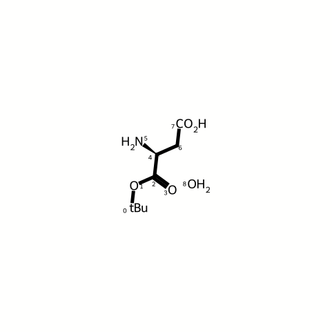 CC(C)(C)OC(=O)[C@@H](N)CC(=O)O.O